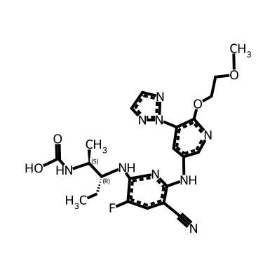 CC[C@@H](Nc1nc(Nc2cnc(OCCOC)c(-n3nccn3)c2)c(C#N)cc1F)[C@H](C)NC(=O)O